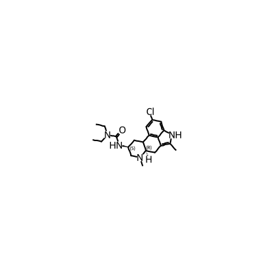 CCN(CC)C(=O)N[C@H]1CC2c3cc(Cl)cc4[nH]c(C)c(c34)C[C@H]2N(C)C1